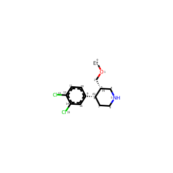 CCOC[C@@H]1CNCC[C@@H]1c1ccc(Cl)c(Cl)c1